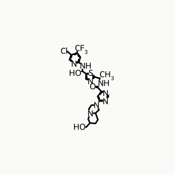 CC(NC(=O)c1cc(N2CCN3CC(CO)CCC3C2)ncn1)c1ncc(C(O)Nc2cc(C(F)(F)F)c(Cl)cn2)s1